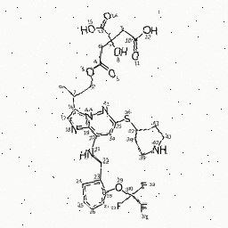 CC(COC(=O)CC(O)(CC(=O)O)C(=O)O)c1cnc2c(NCc3ccccc3OC(F)(F)F)cc(SC3CCNCC3)nn12